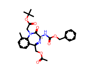 CC(=O)OCC1=N[C@H](NC(=O)OCc2ccccc2)C(=O)N(CC(=O)OC(C)(C)C)c2c(C)cccc21